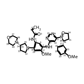 C=CC(=O)Nc1cc(Nc2cc(N3OCC[C@@H]3c3cccc(OC)c3)ncn2)c(OC)cc1N1CC[C@H](N2CCOCC2)C1